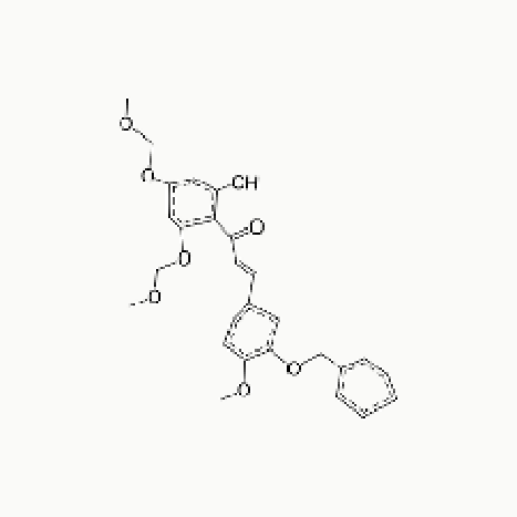 COCOc1cc(O)c(C(=O)C=Cc2ccc(OC)c(OCc3ccccc3)c2)c(OCOC)c1